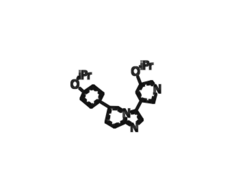 CC(C)Oc1ccc(-c2ccc3ncc(-c4cncc(OC(C)C)c4)n3c2)cc1